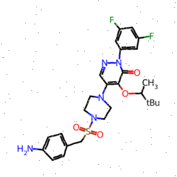 CC(Oc1c(N2CCN(S(=O)(=O)Cc3ccc(N)cc3)CC2)cnn(-c2cc(F)cc(F)c2)c1=O)C(C)(C)C